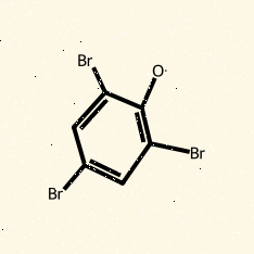 [O]c1c(Br)cc(Br)cc1Br